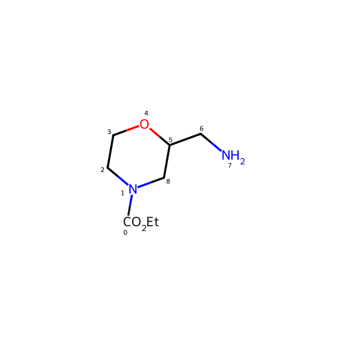 CCOC(=O)N1CCOC(CN)C1